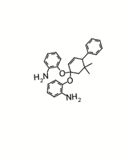 CC1(C)CC(Oc2ccccc2N)(Oc2ccccc2N)C=CC1c1ccccc1